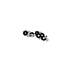 COc1ccccc1OC(=O)CC[C@H]1CC[C@H]2[C@@H]3CCC4N(C)C(=O)CC[C@]4(C)[C@H]3CC[C@]12C